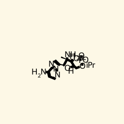 CC(C)O[P@]1(=O)OC[C@H]2O[C@@H](c3cnc4c(N)ccnn34)[C@](C)(N)[C@@H]2O1